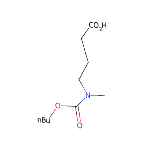 CCCCOC(=O)N(C)CCCC(=O)O